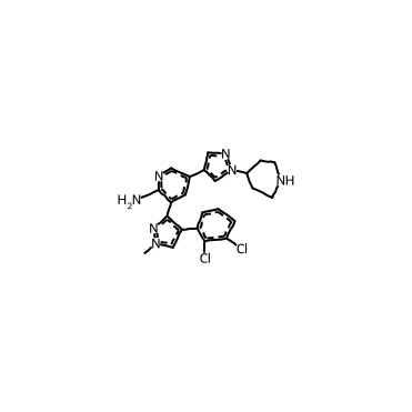 Cn1cc(-c2cccc(Cl)c2Cl)c(-c2cc(-c3cnn(C4CCNCC4)c3)cnc2N)n1